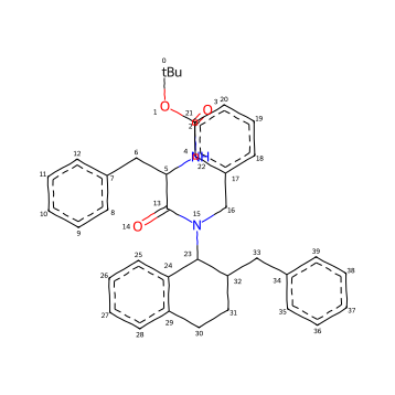 CC(C)(C)OC(=O)NC(Cc1ccccc1)C(=O)N(Cc1ccccc1)C1c2ccccc2CCC1Cc1ccccc1